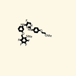 COCCOc1ccc(Nc2ncc(F)c(Nc3cccc(OCc4c(F)c(F)c(F)c(F)c4SC)c3)n2)cc1